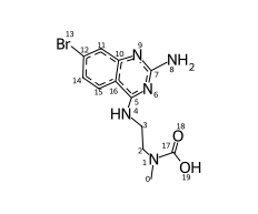 CN(CCNc1nc(N)nc2cc(Br)ccc12)C(=O)O